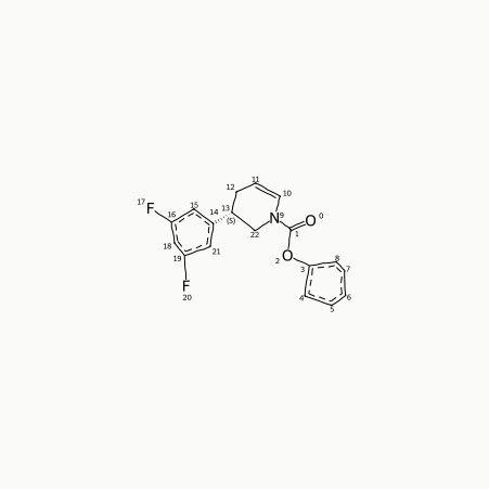 O=C(Oc1ccccc1)N1C=CC[C@@H](c2cc(F)cc(F)c2)C1